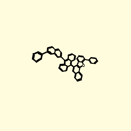 c1ccc(-c2ccc3ccc(-c4c5ccccc5c(-c5cc6ccccc6c6oc7c(-c8ccccc8)cccc7c56)c5ccccc45)cc3c2)cc1